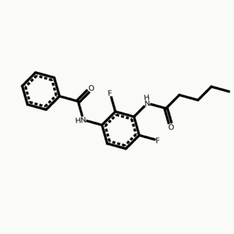 CCCCC(=O)Nc1c(F)ccc(NC(=O)c2ccccc2)c1F